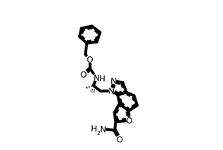 C[C@@H](Cn1ncc2ccc3oc(C(N)=O)cc3c21)NC(=O)OCc1ccccc1